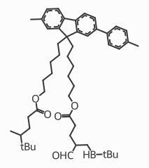 Cc1ccc(-c2ccc3c(c2)C(CCCCCCOC(=O)CCC(C=O)CBC(C)(C)C)(CCCCCCOC(=O)CCC(C)C(C)(C)C)c2cc(C)ccc2-3)cc1